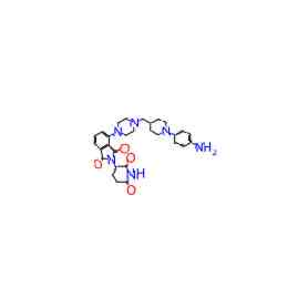 Nc1ccc(N2CCC(CN3CCN(c4cccc5c4C(=O)N(C4CCC(=O)NC4=O)C5=O)CC3)CC2)cc1